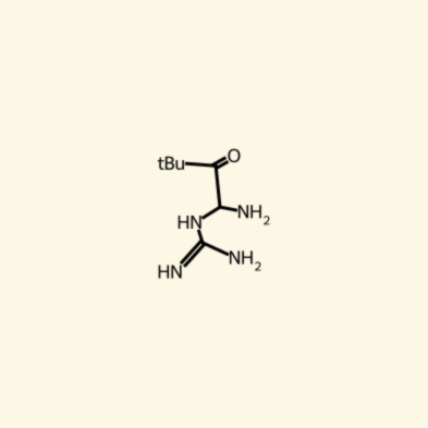 CC(C)(C)C(=O)C(N)NC(=N)N